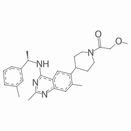 COCC(=O)N1CCC(c2cc3c(N[C@H](C)c4cccc(C)c4)nc(C)nc3cc2C)CC1